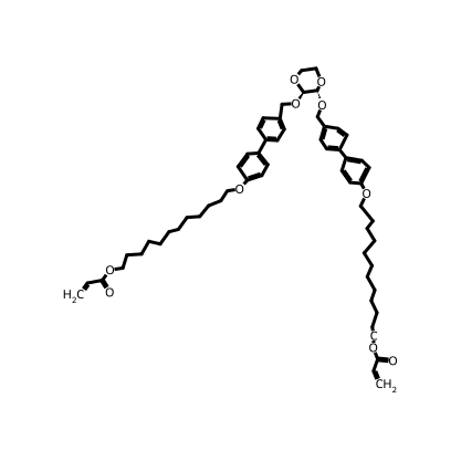 C=CC(=O)OCCCCCCCCCCCCOc1ccc(-c2ccc(CO[C@H]3OCCO[C@@H]3OCc3ccc(-c4ccc(OCCCCCCCCCCCCOC(=O)C=C)cc4)cc3)cc2)cc1